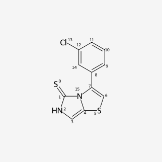 S=c1[nH]cc2scc(-c3cccc(Cl)c3)n12